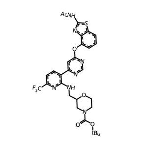 CC(=O)Nc1nc2c(Oc3cc(-c4ccc(C(F)(F)F)nc4NCC4CN(C(=O)OC(C)(C)C)CCO4)ncn3)cccc2s1